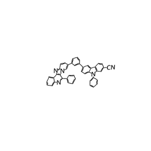 N#Cc1ccc2c3cc(-c4cccc(-c5ccc6nc7c8ccccc8nc(-c8ccccc8)c7n6c5)c4)ccc3n(-c3ccccc3)c2c1